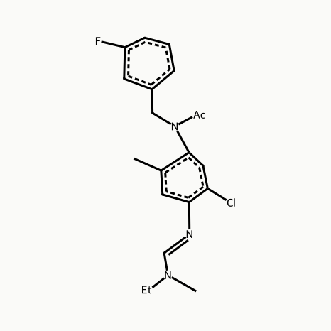 CCN(C)/C=N/c1cc(C)c(N(Cc2cccc(F)c2)C(C)=O)cc1Cl